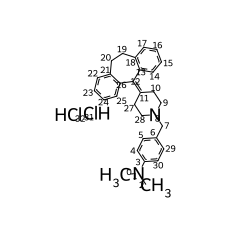 CN(C)c1ccc(CN2CCC(=C3c4ccccc4CCc4ccccc43)CC2)cc1.Cl.Cl